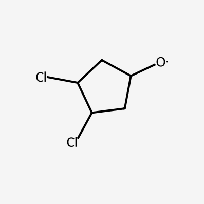 [O]C1CC(Cl)C(Cl)C1